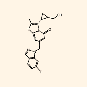 Cc1sc2nc(Cn3ncc4ccc(F)cc43)cc(=O)n2c1[C@@H]1C[C@H]1CO